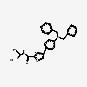 CC(C)C(NC(=O)c1ncc(-c2ccc(N(Cc3ccccc3)Cc3ccccc3)cc2)s1)C(=O)O